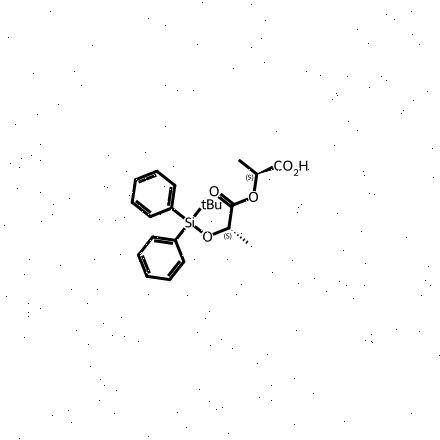 C[C@H](OC(=O)[C@H](C)O[Si](c1ccccc1)(c1ccccc1)C(C)(C)C)C(=O)O